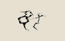 CC(C)(C)OC=O.Nc1ccc2[nH]nnc2c1